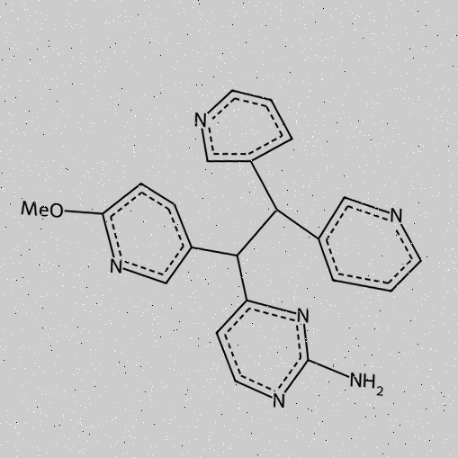 COc1ccc(C(c2ccnc(N)n2)C(c2cccnc2)c2cccnc2)cn1